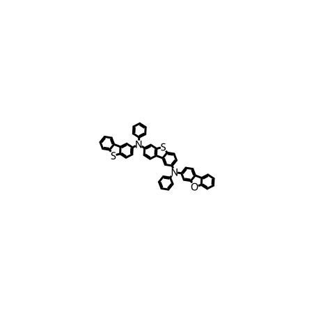 c1ccc(N(c2ccc3c(c2)sc2ccc(N(c4ccccc4)c4ccc5c(c4)oc4ccccc45)cc23)c2ccc3sc4ccccc4c3c2)cc1